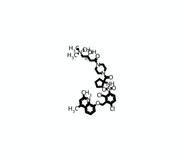 Cc1cc(C)c2cccc(OCc3c(Cl)ccc(S(=O)(=O)NC4(C(=O)N5CCN(C(=O)C[C@@H](O)C[N+](C)(C)C)CC5)CCCC4)c3Cl)c2n1